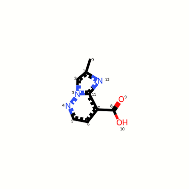 Cc1cn2nccc(C(=O)O)c2n1